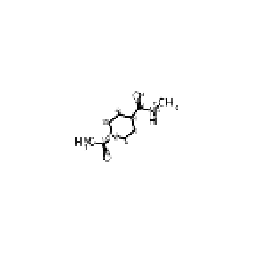 CNC(=O)C1CCN(C(C)=O)CC1